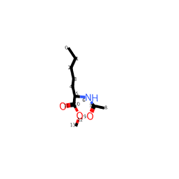 CCCCCC(NC(C)=O)C(=O)OC